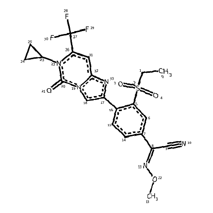 CCS(=O)(=O)c1cc(/C(C#N)=N/OC)ccc1-c1cn2c(=O)n(C3CC3)c(C(F)(F)F)cc2n1